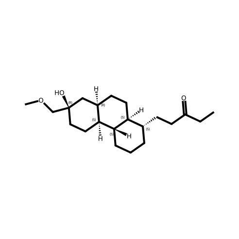 CCC(=O)CC[C@@H]1CCC[C@H]2[C@H]1CC[C@@H]1C[C@@](O)(COC)CC[C@@H]12